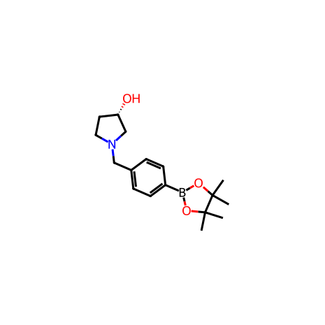 CC1(C)OB(c2ccc(CN3CC[C@H](O)C3)cc2)OC1(C)C